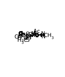 CC(=O)c1nn(CC(=O)N2CSC(C)(C)[C@H]2C(=O)NCc2cccc(Cl)c2F)c2ccc(-c3cnc(C)nc3)cc12